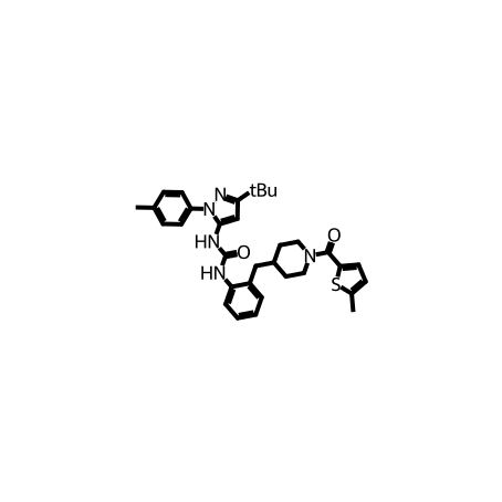 Cc1ccc(-n2nc(C(C)(C)C)cc2NC(=O)Nc2ccccc2CC2CCN(C(=O)c3ccc(C)s3)CC2)cc1